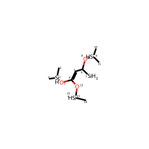 C[SiH](C)OC(=CC([SiH3])O[SiH](C)C)O[SiH](C)C